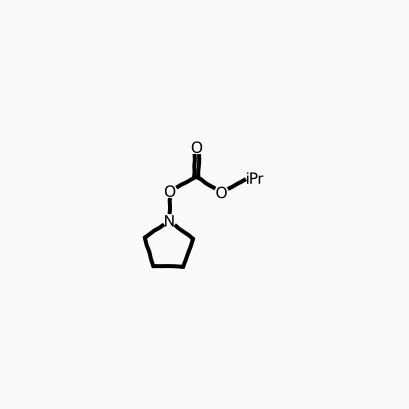 CC(C)OC(=O)ON1CCCC1